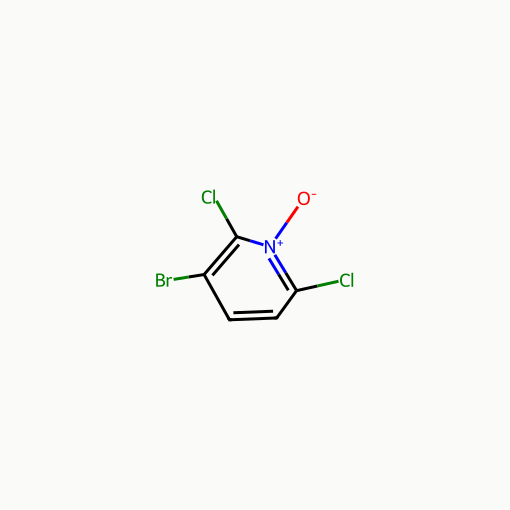 [O-][n+]1c(Cl)ccc(Br)c1Cl